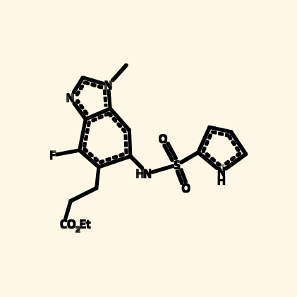 CCOC(=O)CCc1c(NS(=O)(=O)c2ccc[nH]2)cc2c(ncn2C)c1F